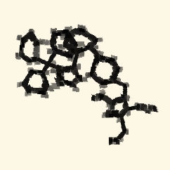 CCCc1nc(CS)c(C(=O)OCC)n1Cc1ccc(-c2ccccc2-c2nnnn2C(c2ccccc2)(c2ccccc2)c2ccccc2)cc1